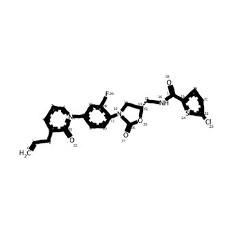 C=CCc1cccn(-c2ccc(N3C[C@H](CNC(=O)c4ccc(Cl)s4)OC3=O)c(F)c2)c1=O